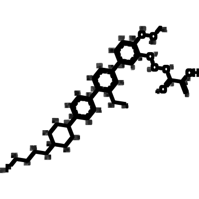 C=C(O)C(=O)OOOc1cc(-c2ccc(-c3ccc(C4CCC(CCCCF)CC4)cc3)c(CC)c2)ccc1OOC